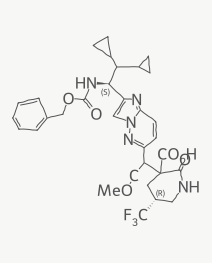 COCC(c1ccc2nc([C@@H](NC(=O)OCc3ccccc3)C(C3CC3)C3CC3)cn2n1)C1(C(=O)O)C[C@@H](C(F)(F)F)CNC1=O